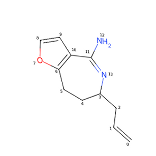 C=CCC1CCc2occc2C(N)=N1